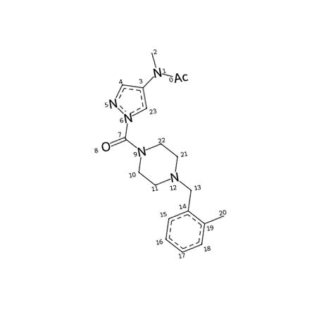 CC(=O)N(C)c1cnn(C(=O)N2CCN(Cc3ccccc3C)CC2)c1